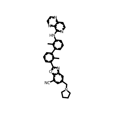 Cc1c(Nc2nccc3nccnc23)cccc1-c1cccc(-c2nc3cc(CN4CCCC4)cc(C#N)c3o2)c1C